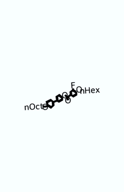 CCCCCCCCOc1ccc(-c2ccc(OC(=O)c3ccc(OCCCCCC)c(F)c3)cc2)cc1